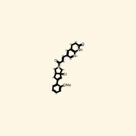 CCC12C=C(c3ccccc3OC)CC1CN(C(=O)/C=C/c1cnc3c(c1)CCC(=O)N3)C2